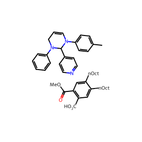 CCCCCCCCc1cc(C(=O)O)c(C(=O)OC)cc1CCCCCCCC.Cc1ccc(N2C=CCN(c3ccccc3)C2c2ccncc2)cc1